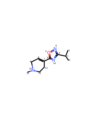 CC(C)c1noc(C2=CCN(C)CC2)n1